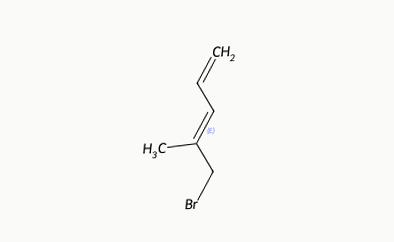 C=C/C=C(\C)CBr